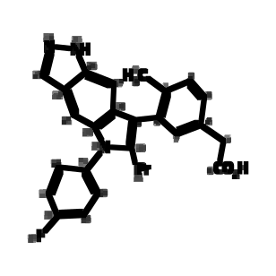 Cc1ccc(CC(=O)O)cc1-c1c(C(C)C)n(-c2ccc(F)cc2)c2cc3cn[nH]c3cc12